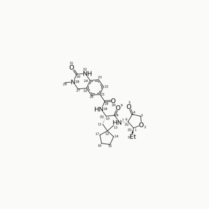 CC[C@@H]1OCC(=O)[C@H]1NC(=O)[C@H](CC1(C)CCCC1)NC(=O)c1ccc2c(c1)CN(C)C(=O)N2